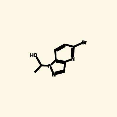 CC(O)n1ncc2nc(Br)ccc21